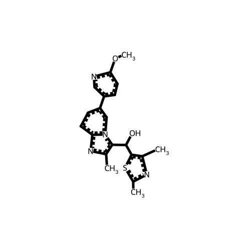 COc1ccc(-c2ccc3nc(C)c(C(O)c4sc(C)nc4C)n3c2)cn1